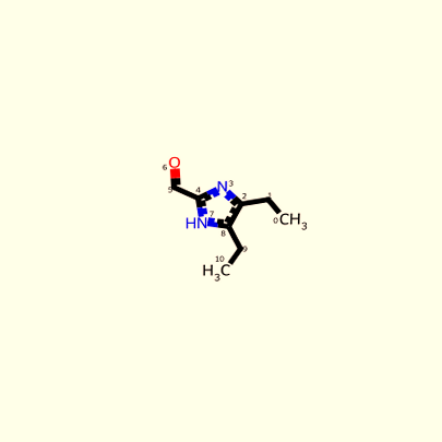 CCc1nc(C=O)[nH]c1CC